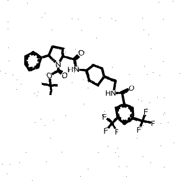 CC(C)(C)OC(=O)N1C(C(=O)NC2CCC(CNC(=O)c3cc(C(F)(F)F)cc(C(F)(F)F)c3)CC2)CCC1c1ccccc1